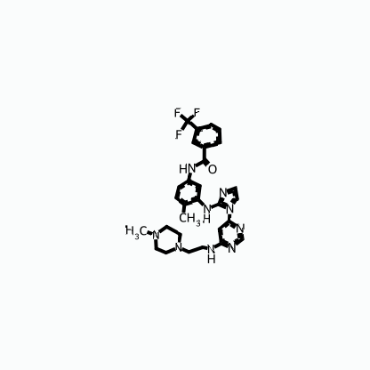 Cc1ccc(NC(=O)c2cccc(C(F)(F)F)c2)cc1Nc1nccn1-c1cc(NCCN2CCN(C)CC2)ncn1